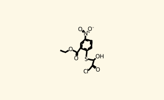 CCOC(=O)c1cc([N+](=O)[O-])ccc1SC(O)C(=O)Cl